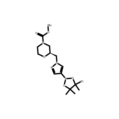 CCC1(C)OB(c2cnn(C[C@@H]3CN(C(=O)OC(C)(C)C)CCO3)c2)OC1(C)C